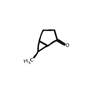 CC1C2CCC(=O)C12